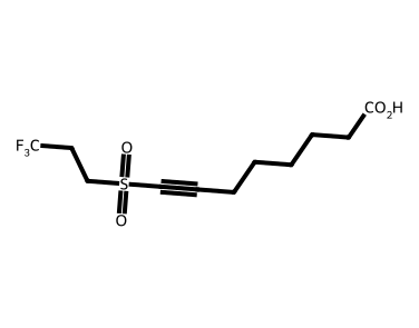 O=C(O)CCCCCC#CS(=O)(=O)CCC(F)(F)F